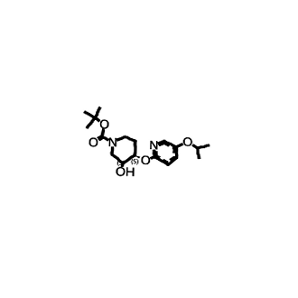 CC(C)Oc1ccc(O[C@H]2CCN(C(=O)OC(C)(C)C)C[C@@H]2O)nc1